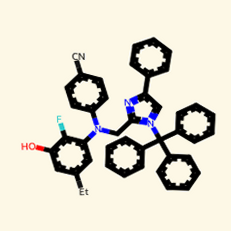 CCc1cc(O)c(F)c(N(Cc2nc(-c3ccccc3)cn2C(c2ccccc2)(c2ccccc2)c2ccccc2)c2ccc(C#N)cc2)c1